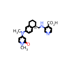 CN(c1ccc2c(c1)CCC[C@H]2CNc1cnccc1C(=O)O)c1ccn(C)c(=O)c1